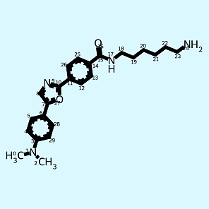 CN(C)c1ccc(-c2cnc(-c3ccc(C(=O)NCCCCCCN)cc3)o2)cc1